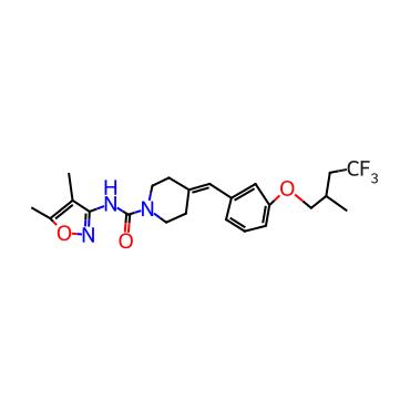 Cc1onc(NC(=O)N2CCC(=Cc3cccc(OCC(C)CC(F)(F)F)c3)CC2)c1C